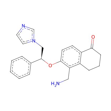 NCc1c(O[C@H](Cn2ccnc2)c2ccccc2)ccc2c1CCCC2=O